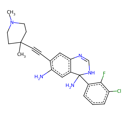 CN1CCC(C)(C#Cc2cc3c(cc2N)C(N)(c2cccc(Cl)c2F)NC=N3)CC1